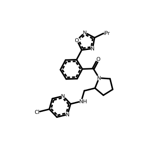 CC(C)c1noc(-c2ccccc2C(=O)N2CCCC2CNc2ncc(Cl)cn2)n1